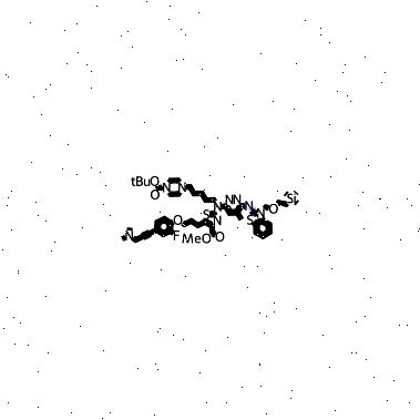 COC(=O)c1nc(N(CCCCCN2CCN(C(=O)OC(C)(C)C)CC2)c2cc(C)c(/N=c3\sc4ccccc4n3COCC[Si](C)(C)C)nn2)sc1CCCOc1ccc(C#CCN(C)C)cc1F